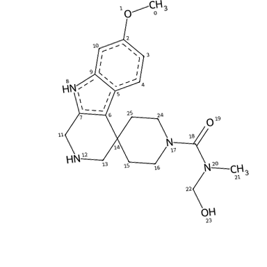 COc1ccc2c3c([nH]c2c1)CNCC31CCN(C(=O)N(C)CO)CC1